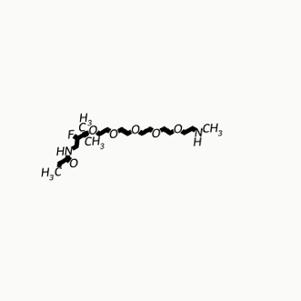 CCC(=O)NCC(F)C(C)(C)OCCOCCOCCOCCOCCNC